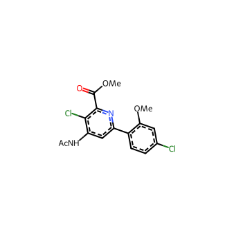 COC(=O)c1nc(-c2ccc(Cl)cc2OC)cc(NC(C)=O)c1Cl